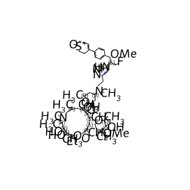 CC[C@H]1OC(=O)[C@H](C)[C@@H](C2C[C@@](C)(OC)[C@@H](O)[C@H](C)O2)[C@H](C)[C@@H](O[C@H]2C[C@@H](N(C)CC/C(=C/N[C@H](CF)C(OC)c3ccc(C4=CC[S+]([O-])CC4)cc3)N=N)C[C@@H](C)O2)[C@](C)(O)C[C@@H](C)CN(C)[C@H](C)[C@@H](O)[C@]1(C)O